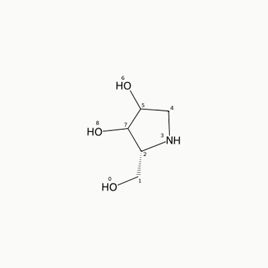 OC[C@H]1NCC(O)C1O